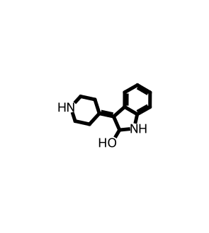 OC1Nc2ccccc2C1=C1CCNCC1